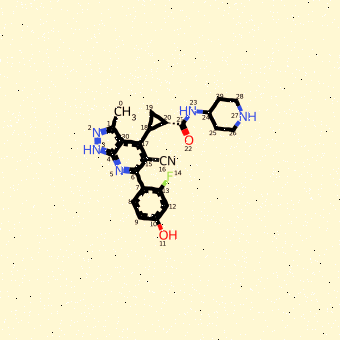 Cc1n[nH]c2nc(-c3ccc(O)cc3F)c(C#N)c(C3C[C@@H]3C(=O)NC3CCNCC3)c12